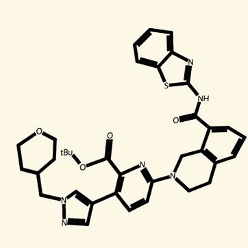 CC(C)(C)OC(=O)c1nc(N2CCc3cccc(C(=O)Nc4nc5ccccc5s4)c3C2)ccc1-c1cnn(CC2CCOCC2)c1